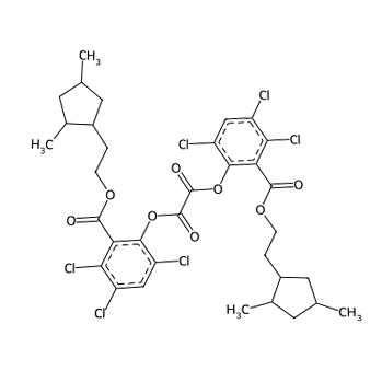 CC1CC(C)C(CCOC(=O)c2c(Cl)c(Cl)cc(Cl)c2OC(=O)C(=O)Oc2c(Cl)cc(Cl)c(Cl)c2C(=O)OCCC2CC(C)CC2C)C1